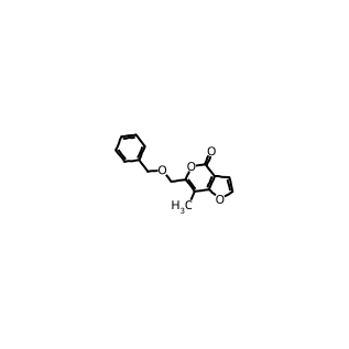 Cc1c(COCc2ccccc2)oc(=O)c2ccoc12